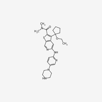 CCOC1(c2c(C(=O)N(C)C)sc3cnc(Nc4ccc(N5CCNCC5)cn4)cc23)CCCC1